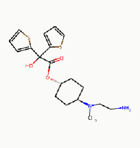 CN(CCN)[C@H]1CC[C@H](OC(=O)C(O)(c2cccs2)c2cccs2)CC1